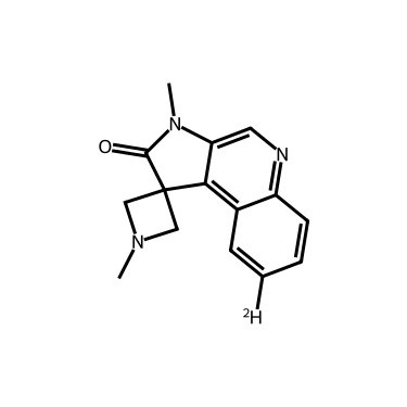 [2H]c1ccc2ncc3c(c2c1)C1(CN(C)C1)C(=O)N3C